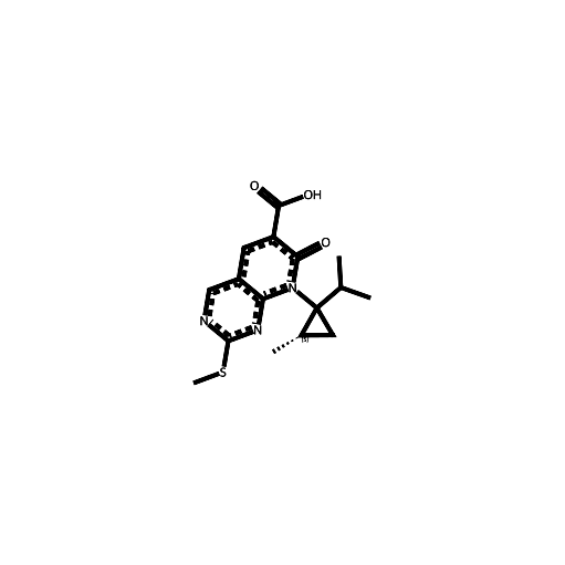 CSc1ncc2cc(C(=O)O)c(=O)n(C3(C(C)C)C[C@@H]3C)c2n1